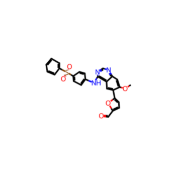 COc1cc2ncnc(Nc3ccc(S(=O)(=O)c4ccccc4)cc3)c2cc1-c1ccc(C=O)o1